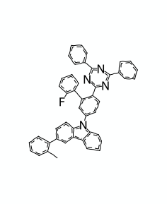 Cc1ccccc1-c1ccc2c(c1)c1ccccc1n2-c1ccc(-c2nc(-c3ccccc3)nc(-c3ccccc3)n2)c(-c2ccccc2F)c1